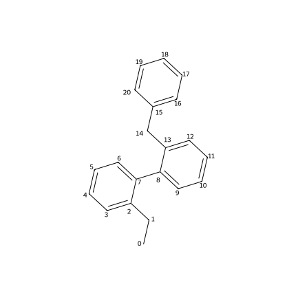 CCc1ccccc1-c1ccccc1Cc1ccccc1